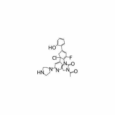 CC(=O)N1CCN(C2=C(F)C=C(c3ccccc3O)CC2(Cl)c2ccnc(N3CCNCC3)c2)C1=O